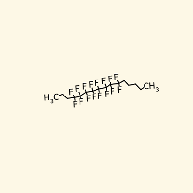 CCCCCC(F)(F)C(F)(F)C(F)(F)C(F)(F)C(F)(F)C(F)(F)C(F)(F)C(F)(F)CCC